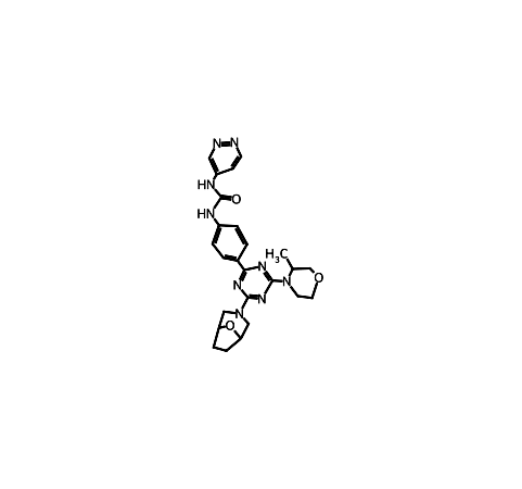 CC1COCCN1c1nc(-c2ccc(NC(=O)Nc3ccnnc3)cc2)nc(N2CC3CCC(C2)O3)n1